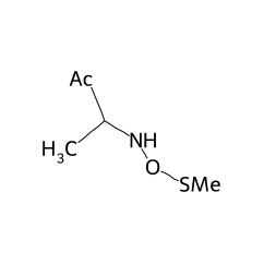 CSONC(C)C(C)=O